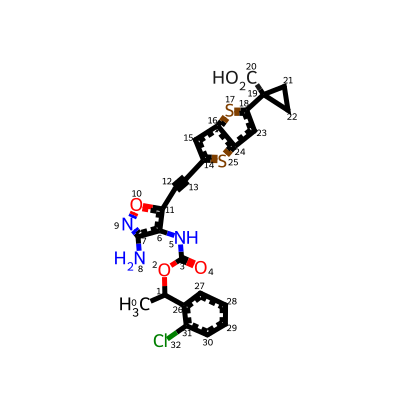 CC(OC(=O)Nc1c(N)noc1C#Cc1cc2sc(C3(C(=O)O)CC3)cc2s1)c1ccccc1Cl